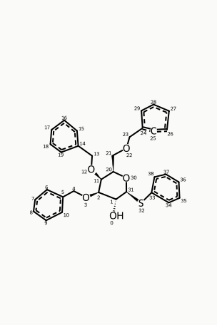 O[C@@H]1[C@@H](OCc2ccccc2)[C@@H](OCc2ccccc2)[C@@H](COCc2ccccc2)O[C@H]1Sc1ccccc1